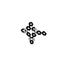 c1ccc(-c2ccc(N(c3ccc(-c4nc5ccccc5nc4-c4ccc(N(c5ccc(-c6ccccc6)cc5)c5ncccn5)cc4)cc3)c3ncccn3)cc2)cc1